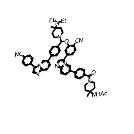 CCN(CC)C1(C)CCN(C(Oc2cc(-c3cnc4ccc(-c5ccc(C(=O)N6CCC(C)(NC(C)=O)CC6)cc5)cn34)ccc2C#N)c2ccc(-c3ccc4ncc(-c5ccc(C#N)cc5)n4c3)cc2)CC1